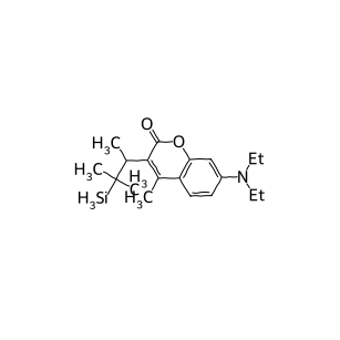 CCN(CC)c1ccc2c(C)c(C(C)C(C)(C)[SiH3])c(=O)oc2c1